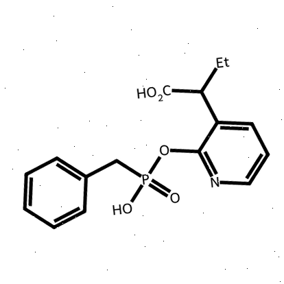 CCC(C(=O)O)c1cccnc1OP(=O)(O)Cc1ccccc1